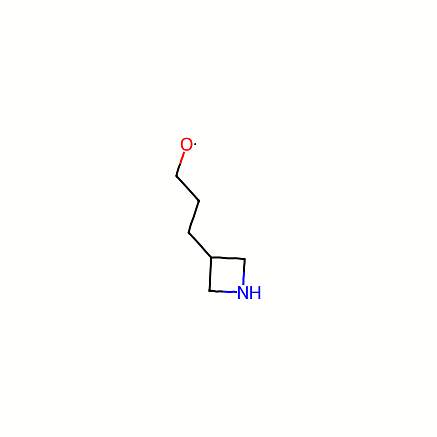 [O]CCCC1CNC1